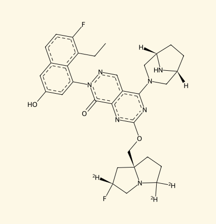 [2H]C1([2H])CC[C@@]2(COc3nc(N4C[C@H]5CC[C@@H](C4)N5)c4cnn(-c5cc(O)cc6ccc(F)c(CC)c56)c(=O)c4n3)C[C@@]([2H])(F)CN12